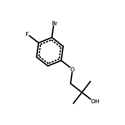 CC(C)(O)COc1ccc(F)c(Br)c1